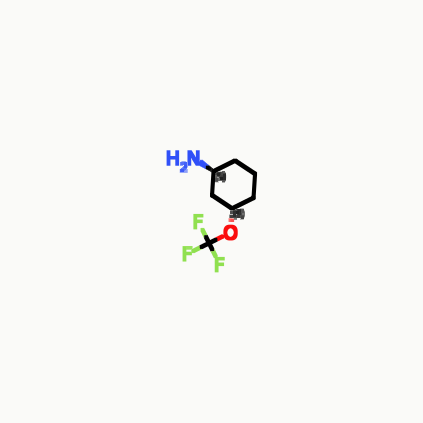 N[C@H]1CCC[C@H](OC(F)(F)F)C1